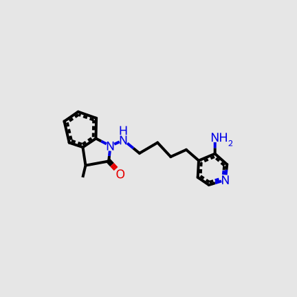 CC1C(=O)N(NCCCCc2ccncc2N)c2ccccc21